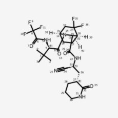 CC(C)(C)[C@@H](NC(=O)C(F)(F)F)C(=O)N1[C@H]2CC[C@@H]([C@H]1C(=O)N[C@H](C#N)C[C@H]1CCCNC1=O)C(F)(F)C2